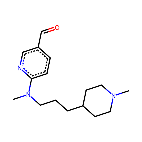 CN1CCC(CCCN(C)c2ccc(C=O)cn2)CC1